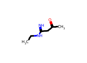 CCNC(=N)CC(C)=O